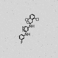 O=C(Cc1c(Cl)cccc1Cl)Nc1cnnc(Nc2cccc(F)c2)c1